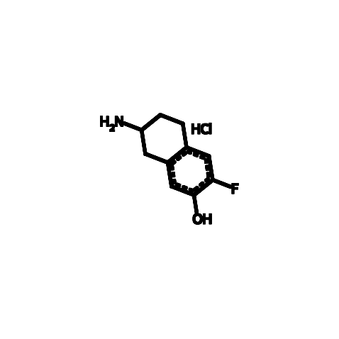 Cl.NC1CCc2cc(F)c(O)cc2C1